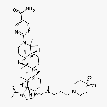 C=C(C)[C@@H]1CC[C@]2(CNCCCN3CCS(=O)(=O)CC3)CC[C@]3(C)[C@H](CC[C@@H]4[C@@]5(C)CCN(c6ncc(C(N)=O)cn6)C(C)(C)[C@@H]5CC[C@]43C)[C@@H]12